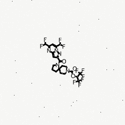 O=C(OC(C(F)(F)F)C(F)(F)F)N1CCC2(CCCN2C(=O)c2cc3nc(C(F)F)cc(C(F)F)n3n2)CC1